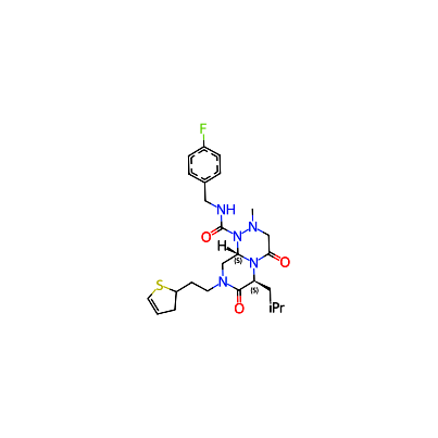 CC(C)C[C@H]1C(=O)N(CCC2CC=CS2)C[C@H]2N1C(=O)CN(C)N2C(=O)NCc1ccc(F)cc1